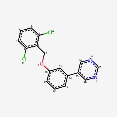 Clc1cccc(Cl)c1COc1cccc(-c2cncnc2)c1